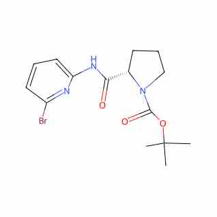 CC(C)(C)OC(=O)N1CCC[C@H]1C(=O)Nc1cccc(Br)n1